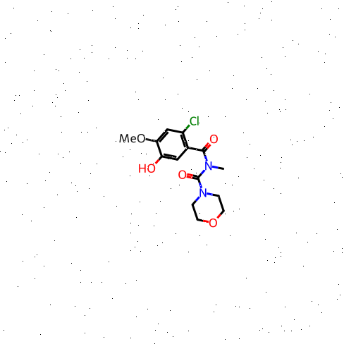 COc1cc(Cl)c(C(=O)N(C)C(=O)N2CCOCC2)cc1O